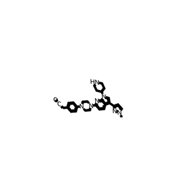 Cn1ccc(-c2cn(C3CCNCC3)c3nc(N4CCN(c5ccc(C=C=O)cc5)CC4)ccc23)n1